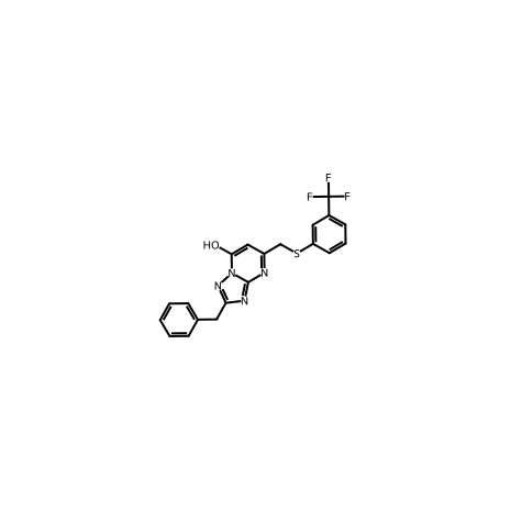 Oc1cc(CSc2cccc(C(F)(F)F)c2)nc2nc(Cc3ccccc3)nn12